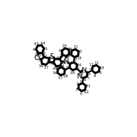 c1ccc(-c2cc(-c3ccccc3)nc(-c3cc(-c4ccccc4)c(-n4c5ccccc5c5c6sc7c(ccc8oc9ccccc9c87)c6ccc54)c(-c4ccccc4)c3)n2)cc1